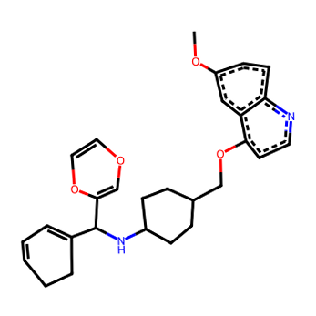 COc1ccc2nccc(OCC3CCC(NC(C4=CC=CCC4)C4=COC=CO4)CC3)c2c1